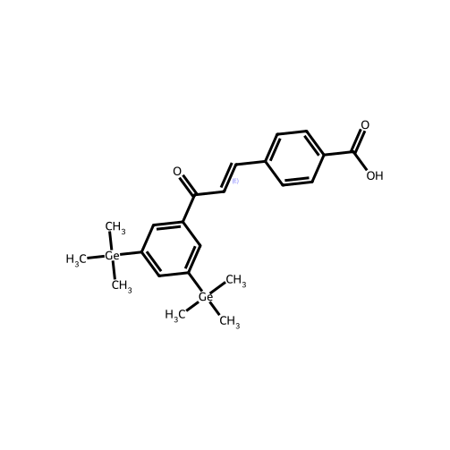 [CH3][Ge]([CH3])([CH3])[c]1cc(C(=O)/C=C/c2ccc(C(=O)O)cc2)c[c]([Ge]([CH3])([CH3])[CH3])c1